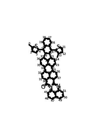 Cc1ccc(-c2c3c(c(-c4sccc4C)c4ccccc24)-c2ccc4c5ccc6c7c(ccc(c8ccc-3c2c84)c57)c(=O)n2c3cccc4cccc(nc62)c43)s1